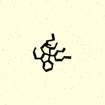 C=C/C=C\C(=C/C)C1(C(/C=C\C=C)=C/C=C)C(/C=C\C)=C(/C=C\C)c2ccccc21